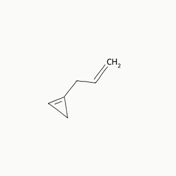 C=CCC1=CC1